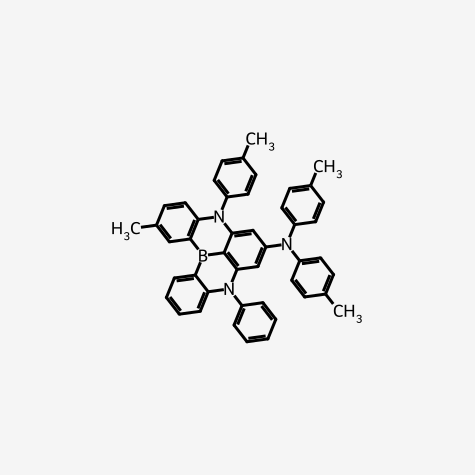 Cc1ccc(N(c2ccc(C)cc2)c2cc3c4c(c2)N(c2ccc(C)cc2)c2ccc(C)cc2B4c2ccccc2N3c2ccccc2)cc1